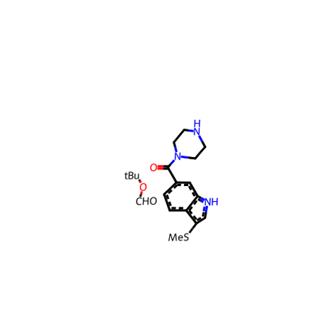 CC(C)(C)OC=O.CSc1c[nH]c2cc(C(=O)N3CCNCC3)ccc12